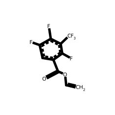 C=COC(=O)c1cc(F)c(F)c(C(F)(F)F)c1F